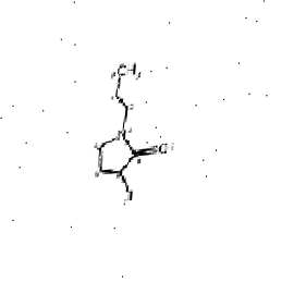 CCCN1CCC(I)C1=O